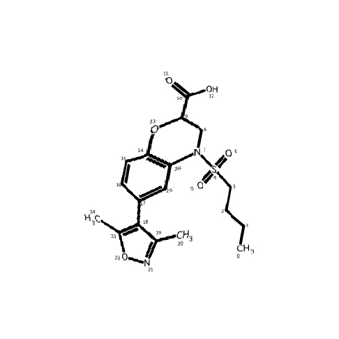 CCCCS(=O)(=O)N1CC(C(=O)O)Oc2ccc(-c3c(C)noc3C)cc21